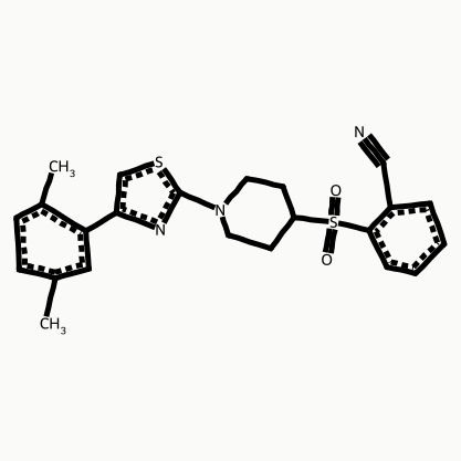 Cc1ccc(C)c(-c2csc(N3CCC(S(=O)(=O)c4ccccc4C#N)CC3)n2)c1